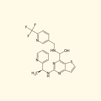 C[C@H](Nc1nc(C(O)NCc2ccc(C(F)(F)F)nc2)c2sccc2n1)c1ccccn1